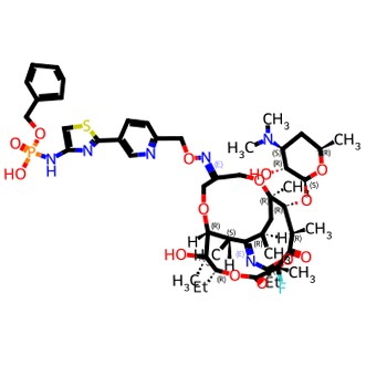 CCC(=O)/N=C1\[C@H](C)C[C@@]2(C)OC/C(=N/OCc3ccc(-c4nc(NP(=O)(O)OCc5ccccc5)cs4)cn3)CO[C@H]([C@H]1C)[C@](C)(O)[C@@H](CC)OC(=O)[C@@](C)(F)C(=O)[C@H](C)[C@H]2O[C@@H]1O[C@H](C)C[C@H](N(C)C)[C@H]1O